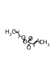 C=CCOOS(=O)(=O)C=CC